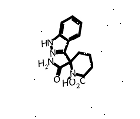 NC(=O)C1(c2n[nH]c3ccccc23)CCCCN1C(=O)O